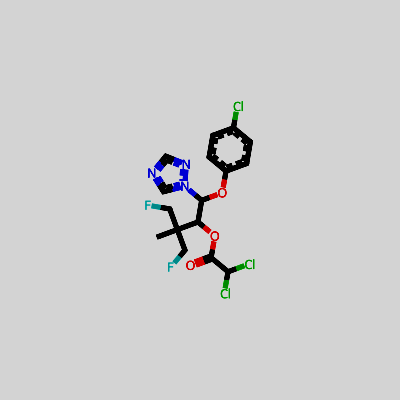 CC(CF)(CF)C(OC(=O)C(Cl)Cl)C(Oc1ccc(Cl)cc1)n1cncn1